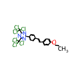 CCCOc1ccc(C=Cc2ccc(-c3nc(C(Cl)(Cl)Cl)nc(C(Cl)(Cl)Cl)n3)cc2)cc1